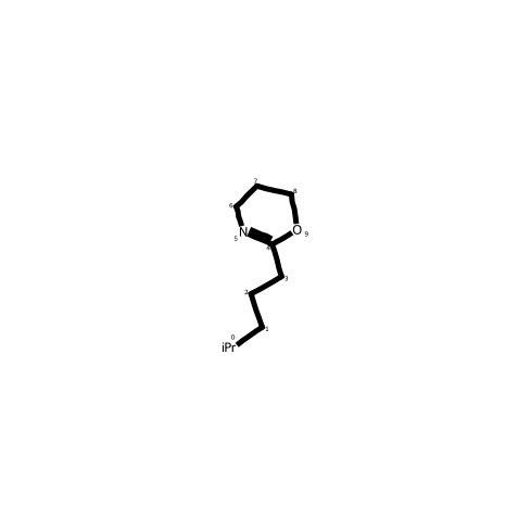 CC(C)CCCC1=NCCCO1